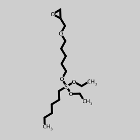 CCCCCC[Si](OCC)(OCC)OCCCCCOCC1CO1